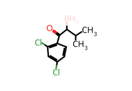 BC(C(=O)c1ccc(Cl)cc1Cl)C(C)C